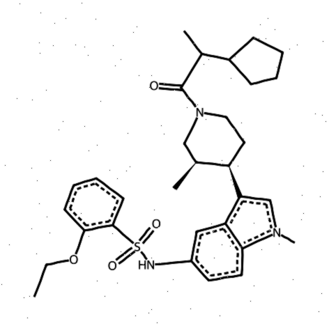 CCOc1ccccc1S(=O)(=O)Nc1ccc2c(c1)c([C@@H]1CCN(C(=O)C(C)C3CCCC3)C[C@@H]1C)cn2C